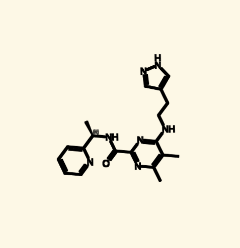 Cc1nc(C(=O)N[C@H](C)c2ccccn2)nc(NCCc2cn[nH]c2)c1C